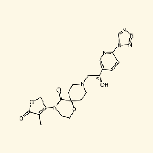 CC1=C(N2CCOC3(CCN(C[C@H](O)c4ccc(-n5cnnn5)nc4)CC3)C2=O)COC1=O